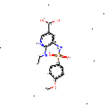 CCNc1ncc(B(O)O)cc1NS(=O)(=O)c1ccc(OC)cc1